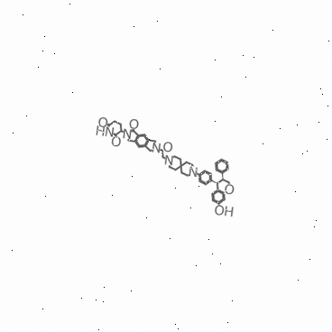 O=C1CCC(N2Cc3cc4c(cc3C2=O)CN(C(=O)CN2CCC3(CC2)CCN(c2ccc([C@@H]5c6ccc(O)cc6OC[C@@H]5c5ccccc5)cc2)CC3)C4)C(=O)N1